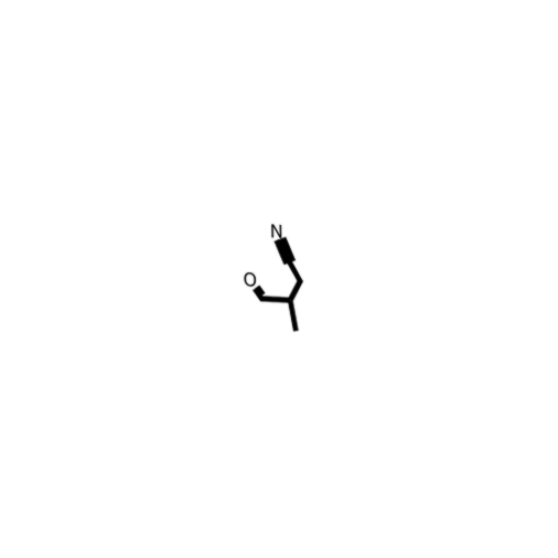 CC(C=O)CC#N